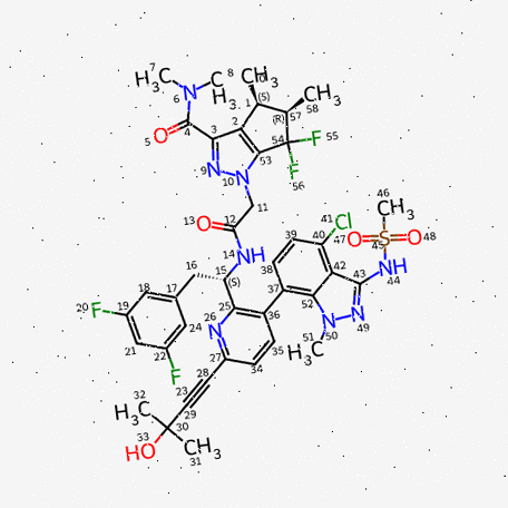 C[C@@H]1c2c(C(=O)N(C)C)nn(CC(=O)N[C@@H](Cc3cc(F)cc(F)c3)c3nc(C#CC(C)(C)O)ccc3-c3ccc(Cl)c4c(NS(C)(=O)=O)nn(C)c34)c2C(F)(F)[C@@H]1C